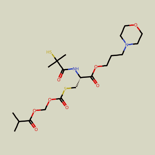 CC(C)C(=O)OCOC(=O)SC[C@H](NC(=O)C(C)(C)S)C(=O)OCCCN1CCOCC1